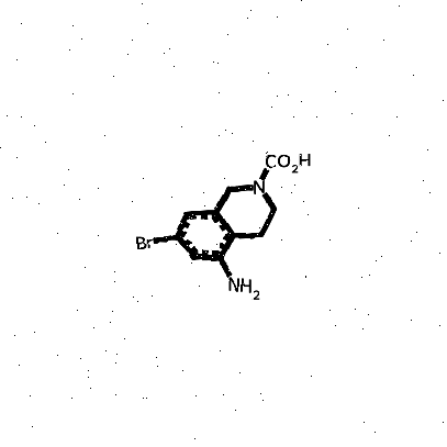 Nc1cc(Br)cc2c1CCN(C(=O)O)C2